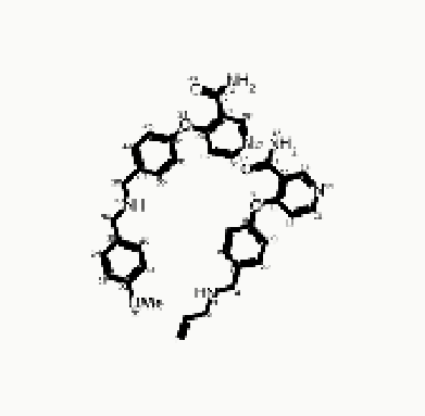 C=CCNCc1ccc(Oc2ccncc2C(N)=O)cc1.COc1ccc(CNCc2ccc(Oc3ccncc3C(N)=O)cc2)cc1